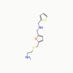 NCCSCc1ccc(CNCc2cccs2)o1